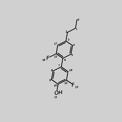 CCCc1ccc(-c2ccc(O)c(F)c2)c(F)c1